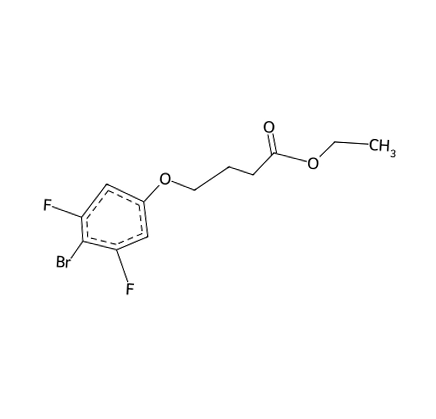 CCOC(=O)CCCOc1cc(F)c(Br)c(F)c1